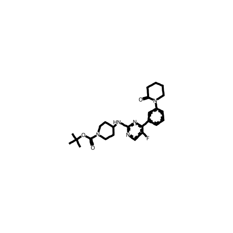 CC(C)(C)OC(=O)N1CCC(Nc2ncc(F)c(-c3cccc(N4CCCCC4=O)c3)n2)CC1